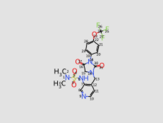 CN(C)S(=O)(=O)Nc1cnccc1CN1CC(=O)N(c2ccc(OC(F)(F)F)cc2)C1=O